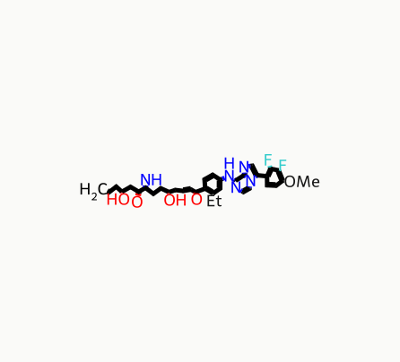 C=CCC(O)CC(=O)C(=N)CCC(O)C/C=C/C(=O)c1ccc(Nc2nccn3c(-c4ccc(OC)c(F)c4F)cnc23)cc1CC